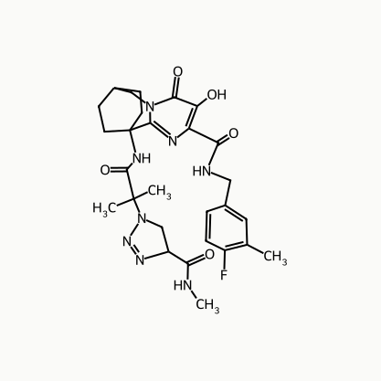 CNC(=O)C1CN(C(C)(C)C(=O)NC23CCC(CC2)Cn2c3nc(C(=O)NCc3ccc(F)c(C)c3)c(O)c2=O)N=N1